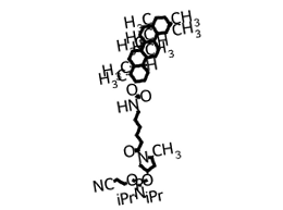 CC(C)N(C(C)C)P(OCCC#N)O[C@@H]1C[C@@H](C)N(C(=O)CCCCCNC(=O)O[C@H]2CC[C@@H]3[C@](C)(CC[C@H]4[C@@]3(C)CC[C@@]3(C)[C@@H]5CC(C)(C)CC[C@]5(C)CC[C@]43C)[C@H]2C)C1